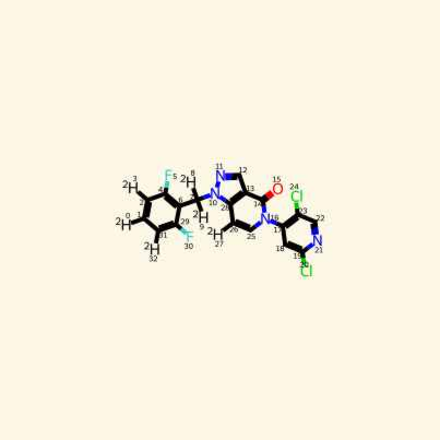 [2H]c1c([2H])c(F)c(C([2H])([2H])n2ncc3c(=O)n(-c4cc(Cl)ncc4Cl)cc([2H])c32)c(F)c1[2H]